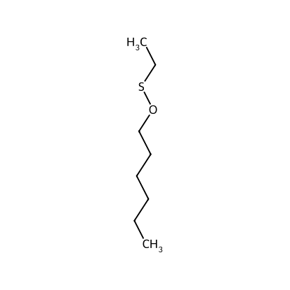 CCCCCCOSCC